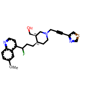 COc1ccc2nccc(C(F)CC[C@@H]3CCN(CC#Cc4cscn4)C[C@@H]3CO)c2c1